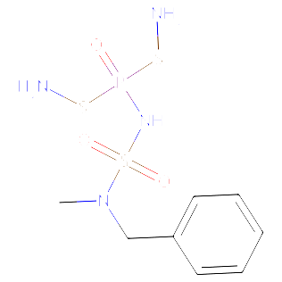 CN(Cc1ccccc1)S(=O)(=O)NP(=O)(SN)SN